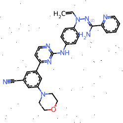 C=CN(/N=C(\N)c1ccccn1)c1ccc(Nc2nccc(-c3cc(C#N)cc(N4CCOCC4)c3)n2)cc1